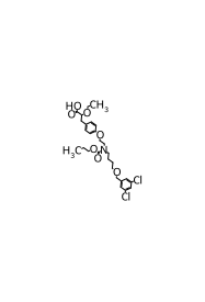 CCCOC(=O)N(CCCCOCc1cc(Cl)cc(Cl)c1)CCOc1ccc(CC(OCC)C(=O)O)cc1